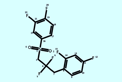 O=S(=O)(CC(F)(F)Cc1ccc(F)cc1F)c1ccc(F)c(F)c1